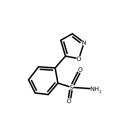 NS(=O)(=O)c1ccccc1-c1ccno1